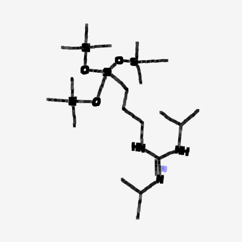 CC(C)/N=C(\NCCC[Si](O[Si](C)(C)C)(O[Si](C)(C)C)O[Si](C)(C)C)NC(C)C